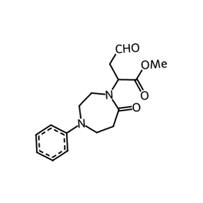 COC(=O)C(CC=O)N1CCN(c2ccccc2)CCC1=O